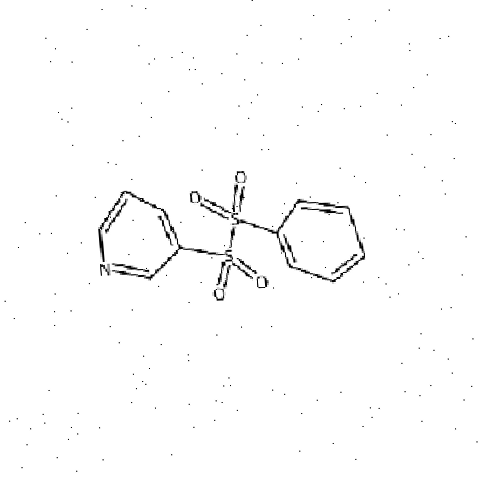 O=S(=O)(c1ccccc1)S(=O)(=O)c1cccnc1